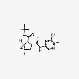 Cc1ncc(NC(=O)[C@@H]2C[C@@]3(C)C[C@H]3N2C(=O)OC(C)(C)C)nc1Br